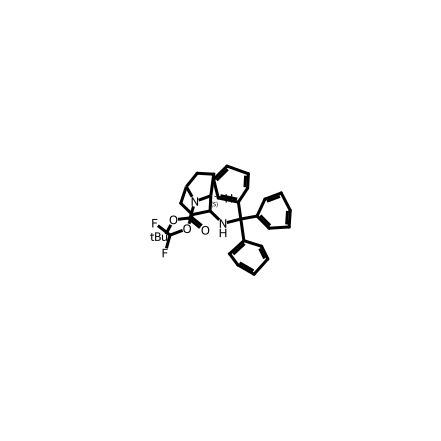 CC(C)(C)OC(=O)N1C2CC[C@H]1C(NC(c1ccccc1)(c1ccccc1)c1ccccc1)C(OC(F)F)C2